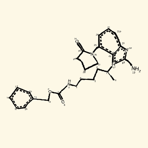 C[C@@H](CCCCNC(=O)OCc1ccccc1)n1c(N)nc2cccc(N3CCCC3=O)c21